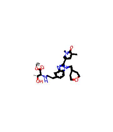 Cc1cc(-c2nc3cc(CCN[C@H](C(=O)OC(C)C)[C@@H](C)O)ccc3n2CC2CCOCC2)cn(C)c1=O